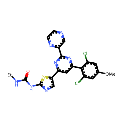 CCNC(=O)Nc1ncc(-c2cc(-c3c(Cl)cc(OC)cc3Cl)nc(-c3cnccn3)n2)s1